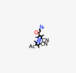 CC(=O)c1c(C)c(C#N)n(-n2c(C)c(C(=O)C=CN(C)C)c(C)c2C#N)c1C